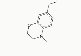 CCc1ccc2c(c1)OCCN2C